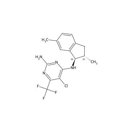 Cc1ccc2c(c1)[C@H](Nc1nc(N)nc(C(F)(F)F)c1Cl)[C@@H](C)C2